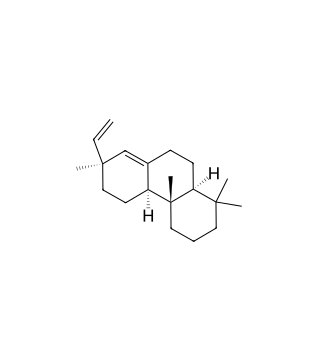 C=C[C@@]1(C)C=C2CC[C@H]3C(C)(C)CCC[C@]3(C)[C@H]2CC1